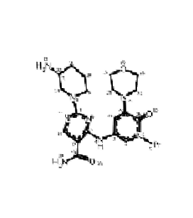 CC(C)n1cc(Nc2nc(N3CCC[C@H](N)C3)ncc2C(N)=O)cc(N2CCOCC2)c1=O